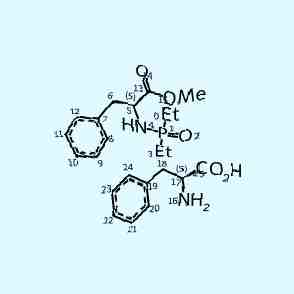 CCP(=O)(CC)N[C@@H](Cc1ccccc1)C(=O)OC.N[C@@H](Cc1ccccc1)C(=O)O